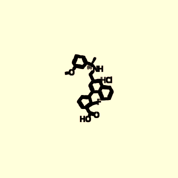 COc1cccc([C@@H](C)NCc2cc(-c3cccc(C(=O)O)c3F)c3ccccc3c2)c1.Cl